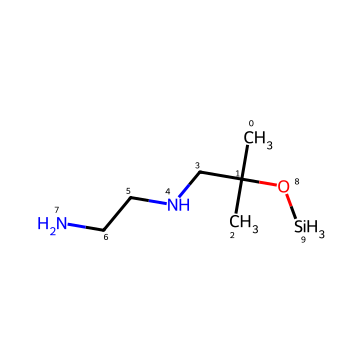 CC(C)(CNCCN)O[SiH3]